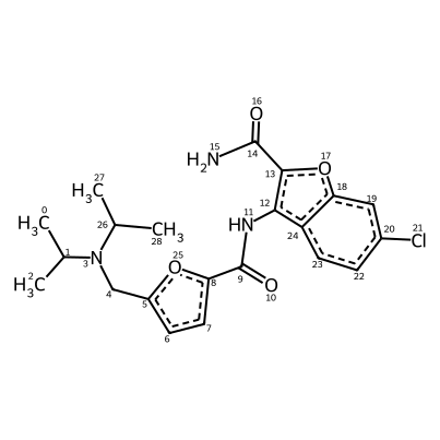 CC(C)N(Cc1ccc(C(=O)Nc2c(C(N)=O)oc3cc(Cl)ccc23)o1)C(C)C